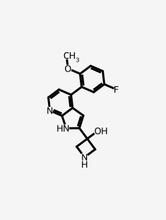 COc1ccc(F)cc1-c1ccnc2[nH]c(C3(O)CNC3)cc12